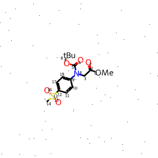 COC(=O)CN(C(=O)OC(C)(C)C)c1ccc(S(C)(=O)=O)cc1